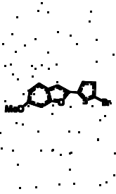 COc1ccc2cc(-c3ccc(Br)s3)oc2c1